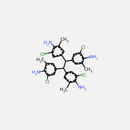 Cc1cc(C(c2cc(C)c(N)c(Cl)c2)C(c2cc(C)c(N)c(Cl)c2)c2cc(C)c(N)c(Cl)c2)cc(Cl)c1N